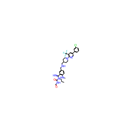 CCCN(C(=N)c1cc(CNCC2CCN(c3ncc(-c4cccc(Cl)c4)cc3C(F)(F)F)CC2)ccc1NC)C(=O)NC=O